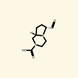 O=C[C@H]1CC[C@H]2CN(C(=O)O)CCN21